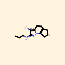 CCCNc1nn2c3c(ccc2c1N)CCC3